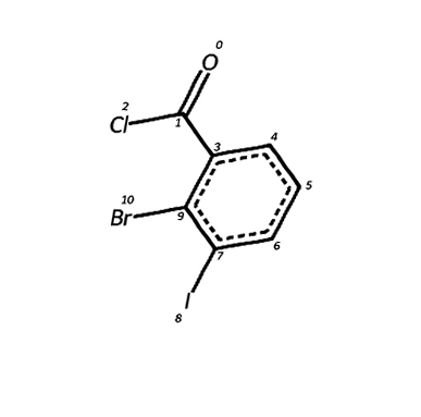 O=C(Cl)c1cccc(I)c1Br